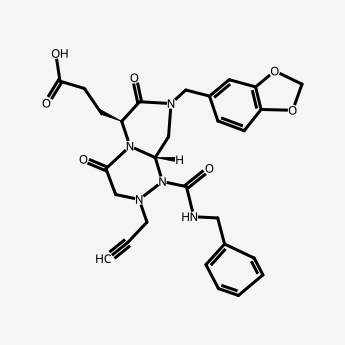 C#CCN1CC(=O)N2[C@@H](CCC(=O)O)C(=O)N(Cc3ccc4c(c3)OCO4)C[C@@H]2N1C(=O)NCc1ccccc1